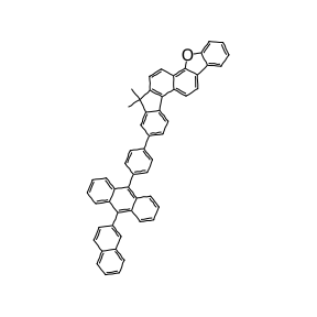 CC1(C)c2cc(-c3ccc(-c4c5ccccc5c(-c5ccc6ccccc6c5)c5ccccc45)cc3)ccc2-c2c1ccc1c2ccc2c3ccccc3oc12